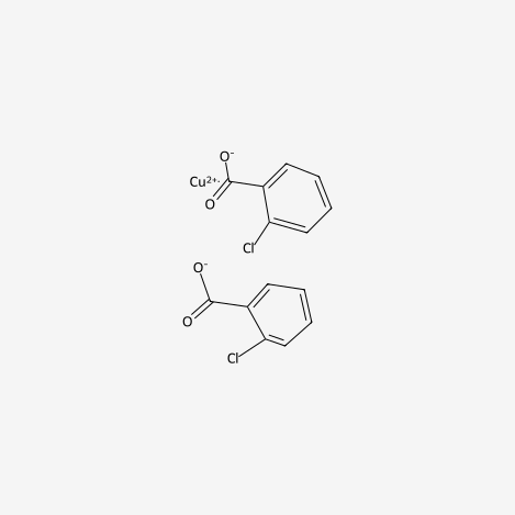 O=C([O-])c1ccccc1Cl.O=C([O-])c1ccccc1Cl.[Cu+2]